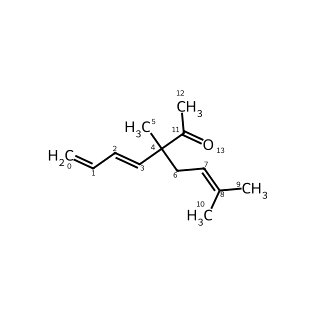 C=C/C=C/C(C)(CC=C(C)C)C(C)=O